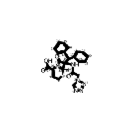 O=C(Cn1cnnn1)NC1(C(c2ccccc2)c2ccccc2)C(=O)N2C(C(=O)O)=CCS[C@H]21